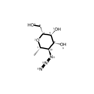 C[C@@H]1O[C@H](CO)[C@H](O)[C@H](O)[C@H]1N=[N+]=[N-]